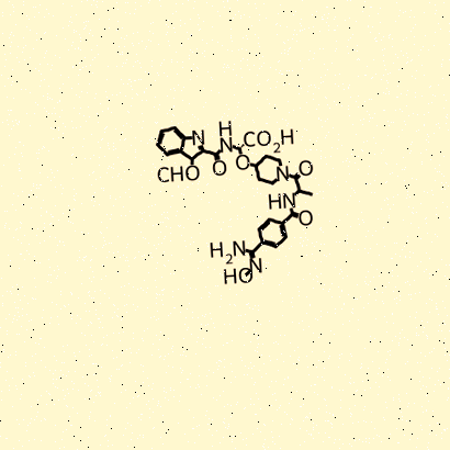 CC(NC(=O)c1ccc(/C(N)=N/O)cc1)C(=O)N1CCC(O[C@H](NC(=O)C2=Nc3ccccc3C2C=O)C(=O)O)CC1